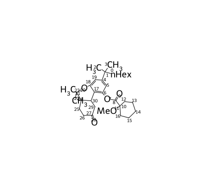 CCCCCCC(C)(C)c1cc(OC(=O)C2(OC)CCCCC2)c2c(c1)OC(C)(C)C1CCC(=O)CC21